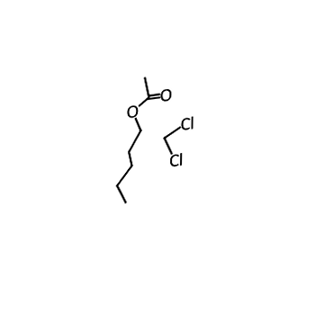 CCCCCOC(C)=O.ClCCl